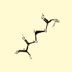 CC(C)(C)C(=O)OCOC(=O)C(=O)F